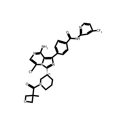 CC1(C(=O)N2CCC[C@@H](c3nc(-c4ccc(C(=O)Nc5cc(C(F)(F)F)ccn5)cc4)c4c(N)ncc(Cl)n34)C2)COC1